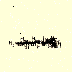 NCCCC(N)CC(=O)NCCCC(N)CC(=O)NCCCC(N)CC(=O)NCCCC(N)CC(=O)NCCCC(N)CC(=O)NCCCC(N)CC(=O)N[C@@H]1[C@H](O)[C@@H](OC(N)=O)[C@@H](CO)O[C@H]1/N=C1\N[C@@H]2[C@H](O)CNC(=O)[C@H]2N1